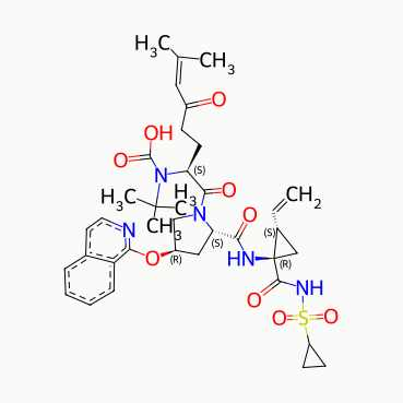 C=C[C@@H]1C[C@]1(NC(=O)[C@@H]1C[C@@H](Oc2nccc3ccccc23)CN1C(=O)[C@H](CCC(=O)C=C(C)C)N(C(=O)O)C(C)(C)C)C(=O)NS(=O)(=O)C1CC1